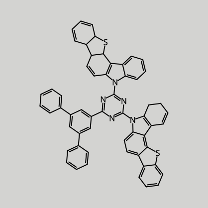 C1=CC2SC3c4c(n(-c5nc(-c6cc(-c7ccccc7)cc(-c7ccccc7)c6)nc(-n6c7c(c8c9sc%10ccccc%10c9ccc86)C=CCC7)n5)c5ccccc45)C=CC3C2C=C1